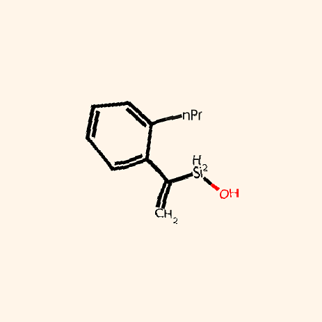 C=C([SiH2]O)c1ccccc1CCC